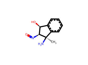 C[C@@]1(N)c2ccccc2[C@H](O)[C@@H]1N=O